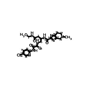 CCNC(=O)CC(CNC(=O)C(=O)Nc1ccc(Cl)cn1)NC(=O)c1nc2c(s1)CN(C)CC2